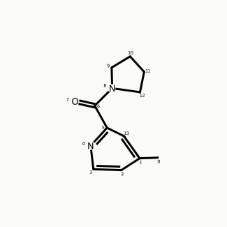 Cc1ccnc(C(=O)N2CCCC2)c1